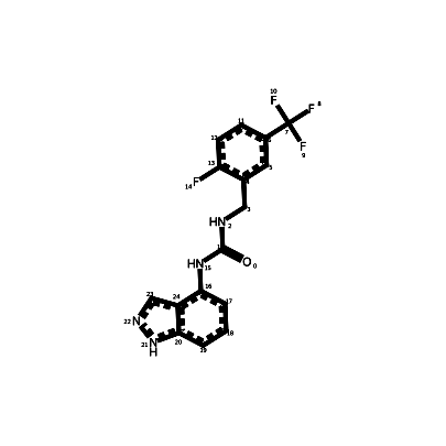 O=C(NCc1cc(C(F)(F)F)ccc1F)Nc1cccc2[nH]ncc12